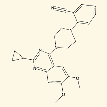 COc1cc2nc(C3CC3)nc(N3CCN(c4ccccc4C#N)CC3)c2cc1OC